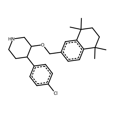 CC1(C)CCC(C)(C)c2cc(COC3CNCCC3c3ccc(Cl)cc3)ccc21